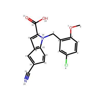 COc1ccc(Cl)cc1Cn1c(C(=O)O)cc2cc(C#N)ccc21